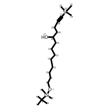 CC(C)(C)[Si](C)(C)OCCCCCCCCC(O)CCC#C[Si](C)(C)C